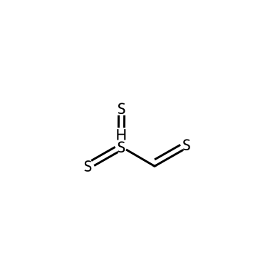 S=C[SH](=S)=S